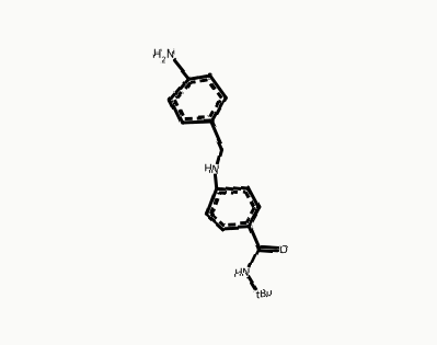 CC(C)(C)NC(=O)c1ccc(NCc2ccc(N)cc2)cc1